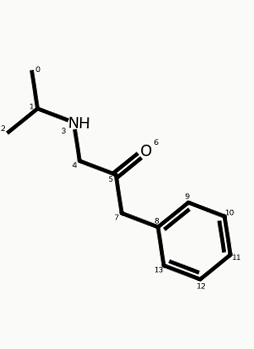 CC(C)NCC(=O)Cc1ccccc1